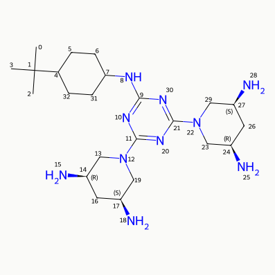 CC(C)(C)C1CCC(Nc2nc(N3C[C@H](N)C[C@H](N)C3)nc(N3C[C@H](N)C[C@H](N)C3)n2)CC1